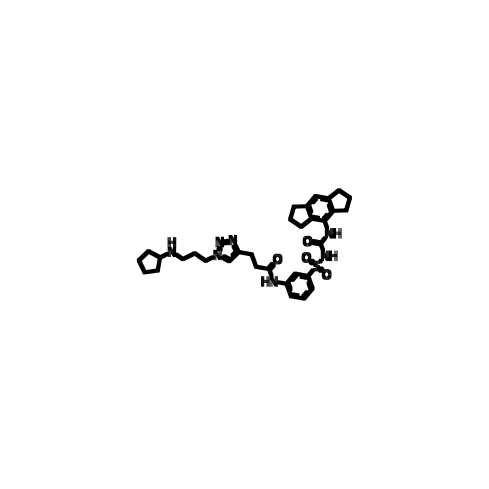 O=C(CCc1cn(CCCNC2CCCC2)nn1)Nc1cccc(S(=O)(=O)NC(=O)Nc2c3c(cc4c2CCC4)CCC3)c1